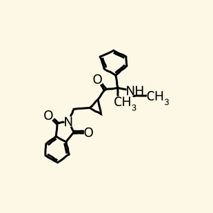 CCNC(C)(C(=O)C1CC1CN1C(=O)c2ccccc2C1=O)c1ccccc1